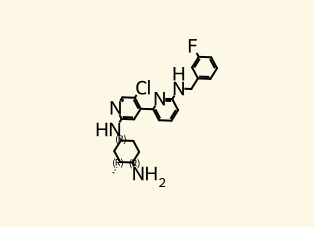 C[C@@H]1C[C@H](Nc2cc(-c3cccc(NCc4cccc(F)c4)n3)c(Cl)cn2)CC[C@H]1N